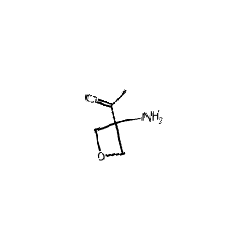 CC(=O)C1(N)COC1